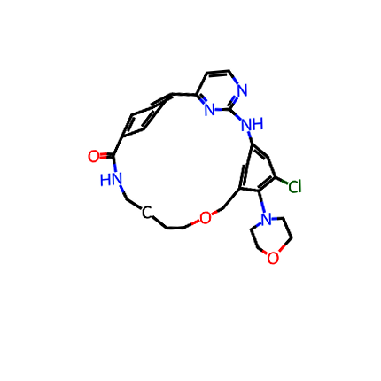 O=C1NCCCCOCc2cc(cc(Cl)c2N2CCOCC2)Nc2nccc(n2)-c2ccc1cc2